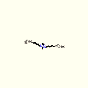 CCCCCCCCCCCCCCCN1C=CN(CCCCCCCCCCCCCCC)C1C